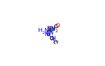 Bc1c(C(C)NC2CCOCC2)nc2c(-c3ccc(C(/C=C\C)=C/C)nc3)cnn2c1N